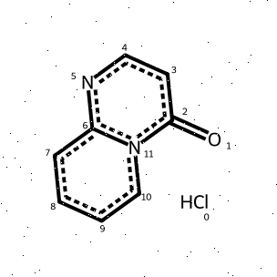 Cl.O=c1ccnc2ccccn12